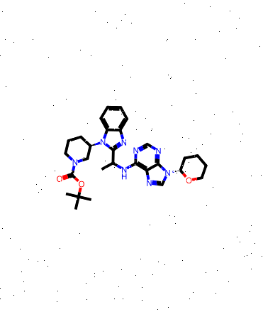 CC(Nc1ncnc2c1ncn2[C@@H]1CCCCO1)c1nc2ccccc2n1[C@@H]1CCCN(C(=O)OC(C)(C)C)C1